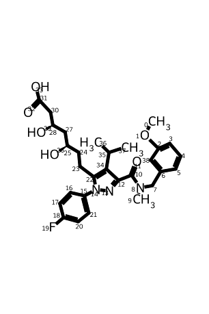 COc1cccc(CN(C)C(=O)c2nn(-c3ccc(F)cc3)c(CC[C@@H](O)C[C@@H](O)CC(=O)O)c2C(C)C)c1